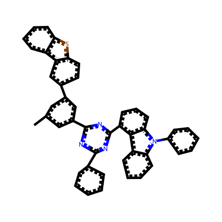 Cc1cc(-c2ccc3sc4ccccc4c3c2)cc(-c2nc(-c3ccccc3)nc(-c3cccc4c3c3ccccc3n4-c3ccccc3)n2)c1